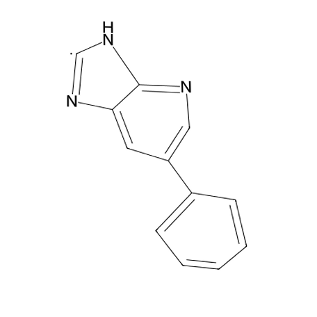 [c]1nc2cc(-c3ccccc3)cnc2[nH]1